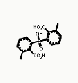 Cc1cccc(P(=O)(O)c2cccc(C)c2C(=O)O)c1C(=O)O